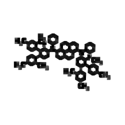 Cc1ccc(-c2ccc(N(c3ccccc3)c3ccc4ccc5c(N(c6ccccc6)c6ccc(-c7ccc(C)cc7C)c(-c7ccc(C)cc7C)c6F)ccc6ccc3c4c65)c(F)c2-c2ccc(C)cc2C)c(C)c1